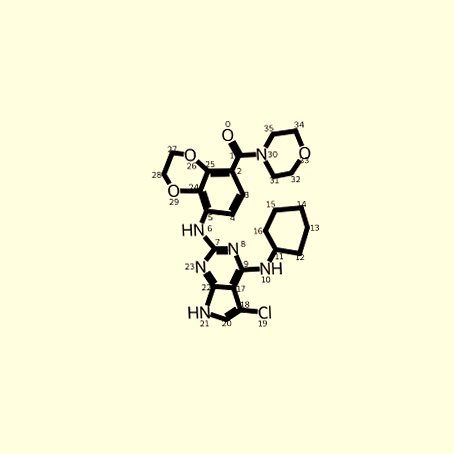 O=C(c1ccc(Nc2nc(NC3CCCCC3)c3c(Cl)c[nH]c3n2)c2c1OCCO2)N1CCOCC1